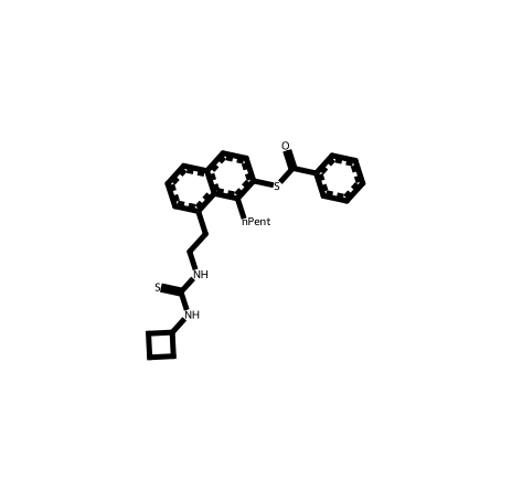 CCCCCc1c(SC(=O)c2ccccc2)ccc2cccc(CCNC(=S)NC3CCC3)c12